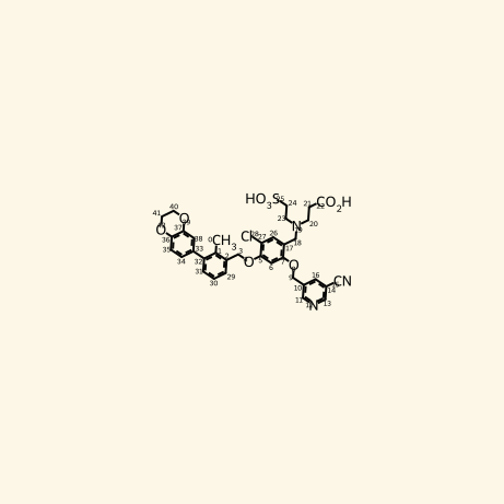 Cc1c(COc2cc(OCc3cncc(C#N)c3)c(CN(CCC(=O)O)CCS(=O)(=O)O)cc2Cl)cccc1-c1ccc2c(c1)OCCO2